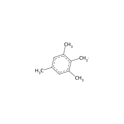 [CH2]c1c(C)cc(C)cc1C